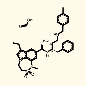 CCc1cn2c3c(cc(C(=O)N[C@@H](Cc4ccccc4)[C@H](O)CNCc4ccc(C)cc4)cc13)N(C)S(=O)(=O)CC2.O=CO